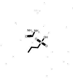 CCCS(=O)(=O)O.N.NC=O